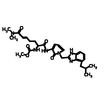 COC(=O)NC(CCC=CC(=O)N(C)C)C(=O)Nc1cccn(Cc2nc3c(CC(C)C)cccc3[nH]2)c1=O